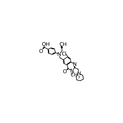 C#CCN(Cc1cc2c(=O)n(C)c(CN3CCCCC3)nc2cc1Cl)c1ccc(C(=O)O)cc1